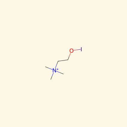 C[N+](C)(C)CCOI